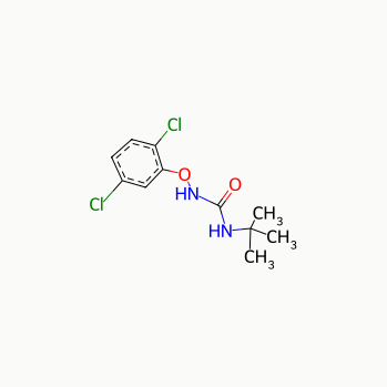 CC(C)(C)NC(=O)NOc1cc(Cl)ccc1Cl